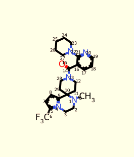 CN1CCn2c(C(F)(F)F)ccc2C12CCN(C(=O)c1cccnc1N1CCCCC1)CC2